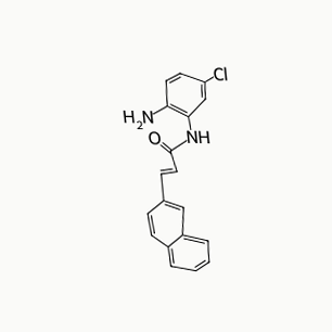 Nc1ccc(Cl)cc1NC(=O)C=Cc1ccc2ccccc2c1